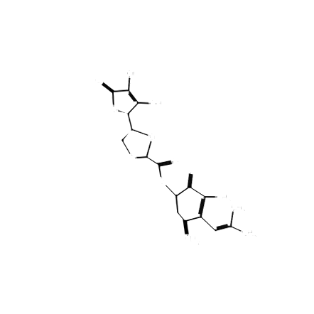 C=C1CC(OC(=O)C2OC[C@@H]([C@H]3OC(=O)C(O)=C3O)O2)C(=O)C(C)=C1C=C(C)C